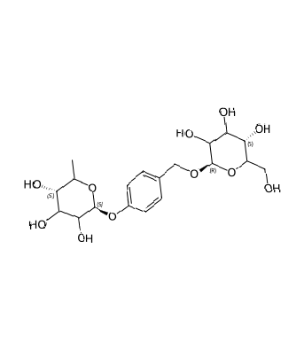 CC1O[C@@H](Oc2ccc(CO[C@@H]3OC(CO)[C@@H](O)C(O)C3O)cc2)C(O)C(O)[C@@H]1O